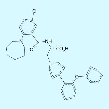 O=C(N[C@@H](Cc1ccc(-c2ccccc2Oc2ccccc2)cc1)C(=O)O)c1cc(Cl)ccc1N1CCCCCC1